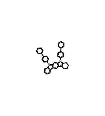 c1ccc(-c2ccc(-n3c4c(c5cc6c7ccccc7n(-c7ccc(-c8ccccc8)cc7)c6cc53)CCCC4)cc2)cc1